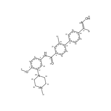 COc1ccc(NC(=O)c2ccc(-c3ccc(C(C)=NO)cc3)c(C)c2)cc1N1CCN(C)CC1